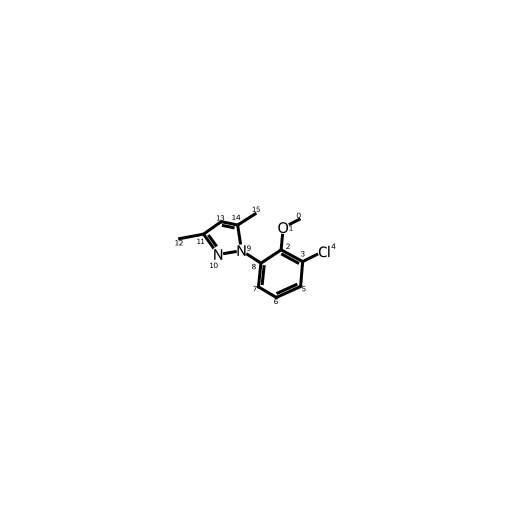 COc1c(Cl)cccc1-n1nc(C)cc1C